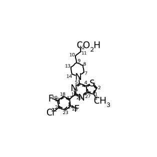 Cc1csc2c(N3CCC(CCC(=O)O)CC3)nc(-c3cc(F)c(Cl)cc3F)nc12